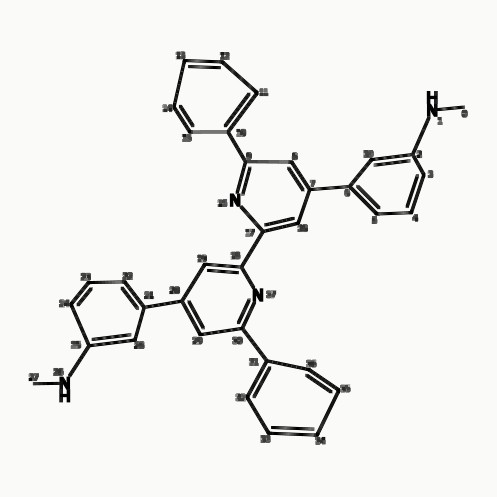 CNc1cccc(-c2cc(-c3ccccc3)nc(-c3cc(-c4cccc(NC)c4)cc(-c4ccccc4)n3)c2)c1